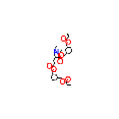 C=CC(=O)OCC1CCCC(COC(=O)CCC(CN(CC)CC)C(=O)OCC2CCCC(COC(=O)C=C)C2)C1